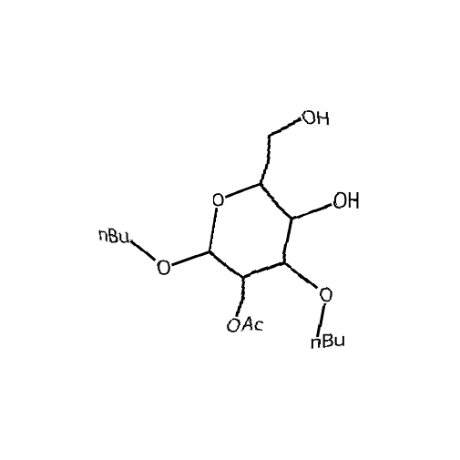 CCCCOC1OC(CO)C(O)C(OCCCC)C1OC(C)=O